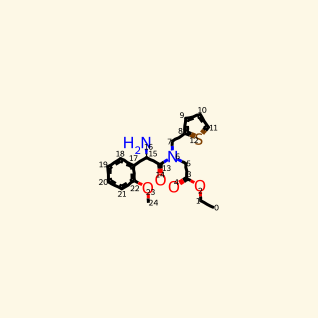 CCOC(=O)CN(Cc1cccs1)C(=O)[C@H](N)c1ccccc1OC